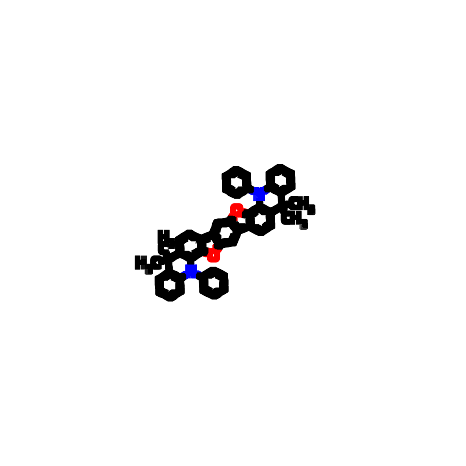 CC1(C)c2ccccc2N(c2ccccc2)c2c1ccc1c2oc2cc3c(cc21)oc1c2c(ccc13)C(C)(C)c1ccccc1N2c1ccccc1